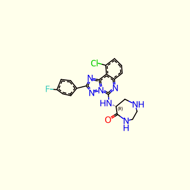 O=C1NCCNC[C@H]1Nc1nc2cccc(Cl)c2c2nc(-c3ccc(F)cc3)nn12